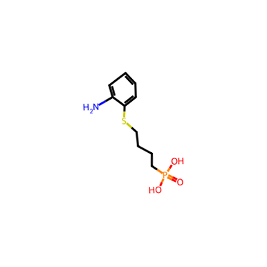 Nc1ccccc1SCCCCP(=O)(O)O